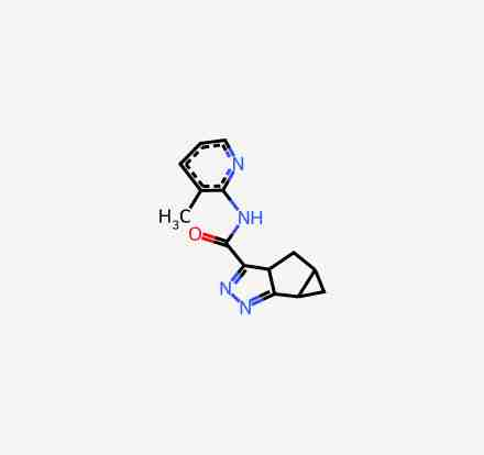 Cc1cccnc1NC(=O)C1=NN=C2C1CC1CC21